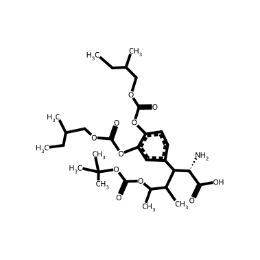 CCC(C)COC(=O)Oc1ccc(C(C(C)C(C)OC(=O)OC(C)(C)C)[C@H](N)C(=O)O)cc1OC(=O)OCC(C)CC